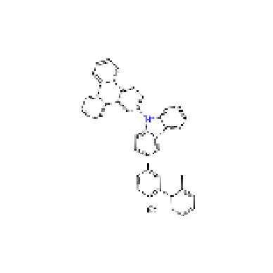 CCc1ccc(-c2ccc3c(c2)c2ccccc2n3-c2ccc3c4ccccc4c4ccccc4c3c2)cc1-c1ccccc1C